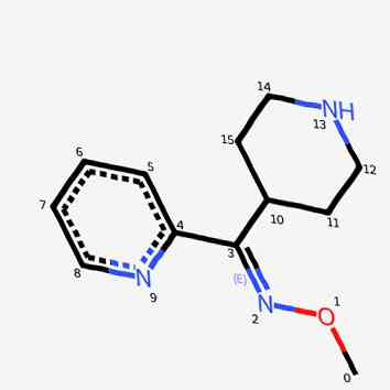 CO/N=C(/c1ccccn1)C1CCNCC1